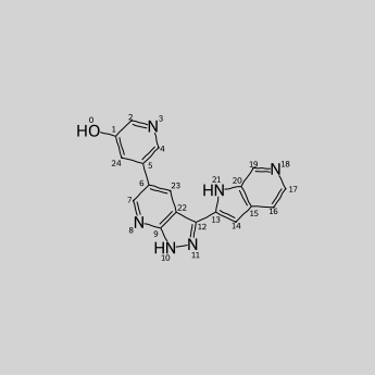 Oc1cncc(-c2cnc3[nH]nc(-c4cc5ccncc5[nH]4)c3c2)c1